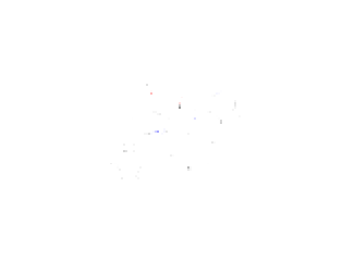 O=C(c1nc(-c2c(F)cccc2F)sc1O)N(c1cccnc1)C1CCCCO1